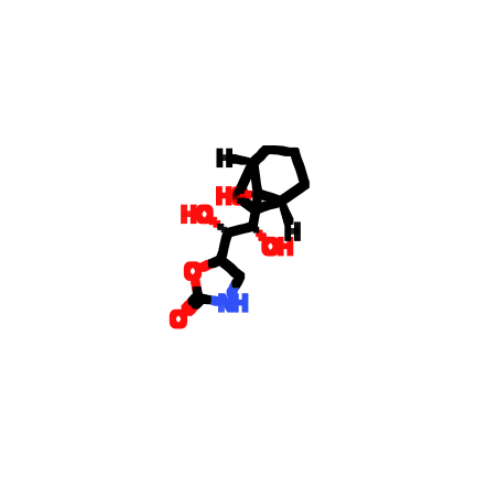 O=C1NCC([C@H](O)[C@@H](O)[C@]2(O)[C@@H]3CCC[C@H]2CC3)O1